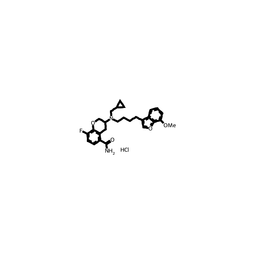 COc1cccc2c(CCCCN(CC3CC3)C3COc4c(F)ccc(C(N)=O)c4C3)coc12.Cl